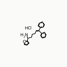 Cl.NC(CCCC=C(c1ccccc1)c1ccccc1)c1ccco1